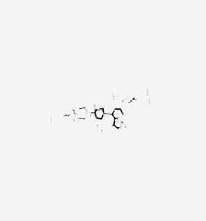 CC(C)CN=S1(=O)CCN(c2ccc(-c3cc(OCC(C)(C)O)cn4ncc(C#N)c34)cn2)CC1